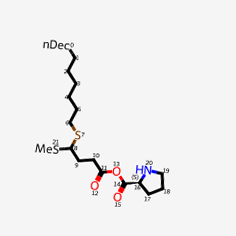 CCCCCCCCCCCCCCCCSC(CCC(=O)OC(=O)[C@@H]1CCCN1)SC